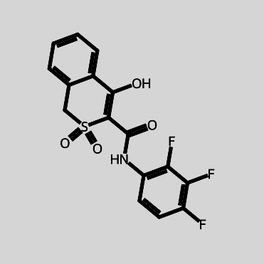 O=C(Nc1ccc(F)c(F)c1F)C1=C(O)c2ccccc2CS1(=O)=O